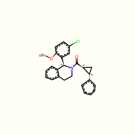 CCCOc1ccc(Cl)cc1[C@@H]1c2ccccc2CCN1C(=O)[C@H]1C[C@@H]1c1ccccc1